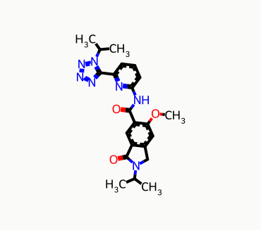 COc1cc2c(cc1C(=O)Nc1cccc(-c3nnnn3C(C)C)n1)C(=O)N(C(C)C)C2